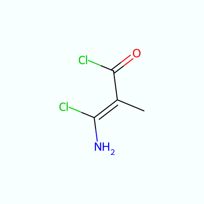 C/C(C(=O)Cl)=C(\N)Cl